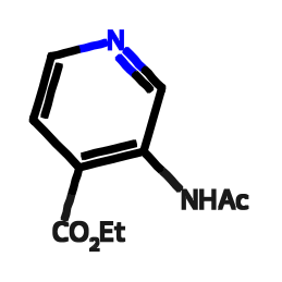 CCOC(=O)c1ccncc1NC(C)=O